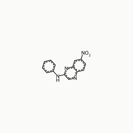 O=[N+]([O-])c1ccc2ncc(Nc3ccccc3)nc2c1